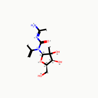 C=C(C)N(C(=O)/N=C(\C)N)[C@@H]1O[C@H](CO)[C@H](O)C1(C)O